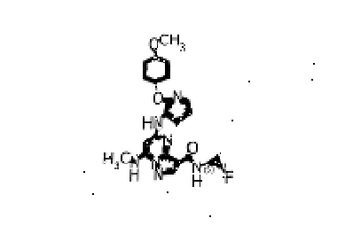 CNc1cc(Nc2cccnc2O[C@H]2CC[C@H](OC)CC2)nc2c(C(=O)N[C@H]3C[C@H]3F)cnn12